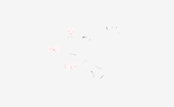 O=C(O)CCCC=CC[C@H]1C(=O)C[C@@H](O)[C@@H]1C=C[C@@H](O)CCc1ccccc1